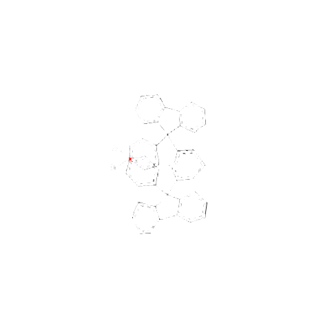 Brc1ccc(C2(c3cccc(C4(c5ccc(Br)cc5)c5ccccc5-c5ccccc54)n3)c3ccccc3-c3ccccc32)cc1